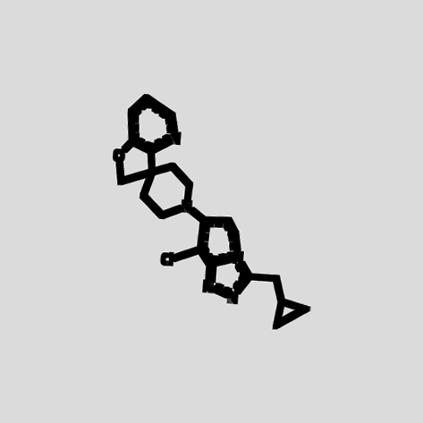 Clc1c(N2CCC3(CC2)COc2cccnc23)ccn2c(CC3CC3)nnc12